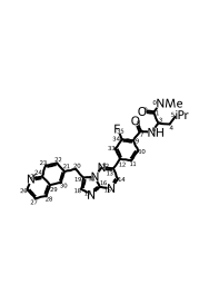 CNC(=O)C(CC(C)C)NC(=O)c1ccc(-c2cnc3ncc(Cc4ccc5ncccc5c4)n3n2)cc1F